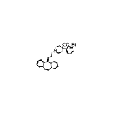 CCOC(=O)C1(c2ccccc2)CCN(CCC=C2c3ccccc3C=CC3C=CC=CC23)CC1